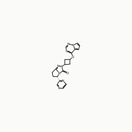 O=c1n(C2CC(Oc3ncnn4cccc34)C2)nc2n1[C@H](c1cnccn1)CC2